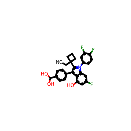 N#CCC1(c2c(-c3ccc(C(O)O)cc3)c3c(O)cc(F)cc3n2-c2ccc(F)c(F)c2)CCC1